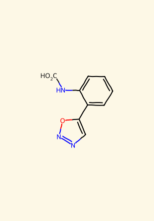 O=C(O)Nc1ccccc1-c1cnno1